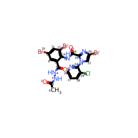 CC(=O)NNC(=O)c1cc(Br)cc(Br)c1NC(=O)c1nc(Br)cn1-c1ncccc1Cl